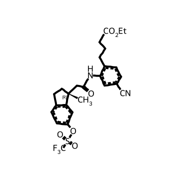 CCOC(=O)CCCc1ccc(C#N)cc1NC(=O)C[C@@]1(C)CCc2ccc(OS(=O)(=O)C(F)(F)F)cc21